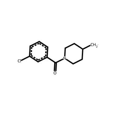 [CH2]C1CCN(C(=O)c2cccc(Cl)c2)CC1